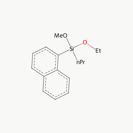 CCC[Si](OC)(OCC)c1cccc2ccccc12